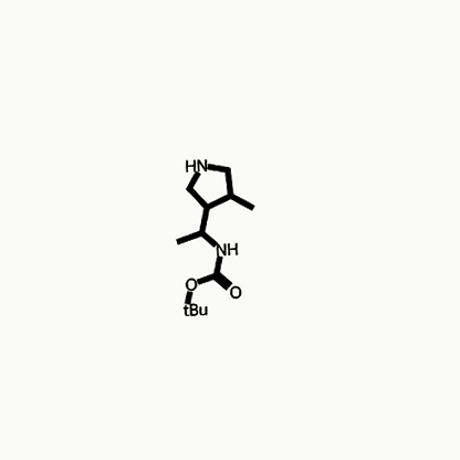 CC1CNCC1C(C)NC(=O)OC(C)(C)C